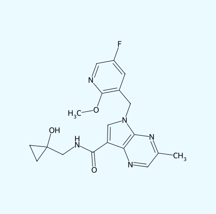 COc1ncc(F)cc1Cn1cc(C(=O)NCC2(O)CC2)c2ncc(C)nc21